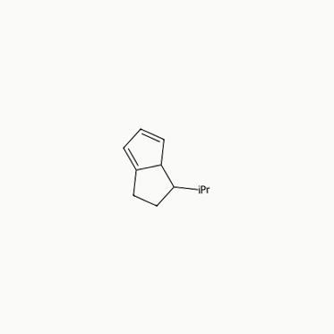 CC(C)C1CCC2=CC=CC21